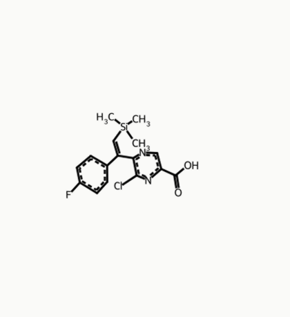 C[Si](C)(C)C=C(c1ccc(F)cc1)c1ncc(C(=O)O)nc1Cl